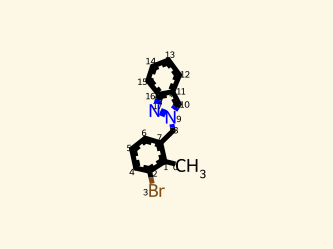 Cc1c(Br)cccc1Cn1cc2ccccc2n1